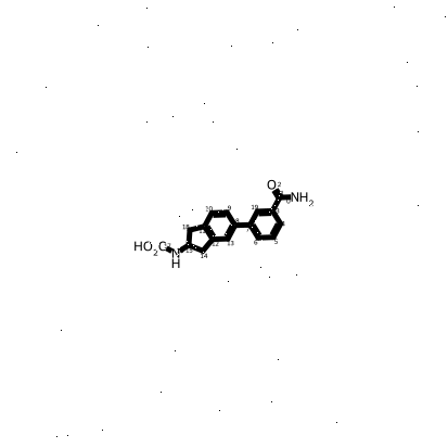 NC(=O)c1cccc(-c2ccc3c(c2)CC(NC(=O)O)C3)c1